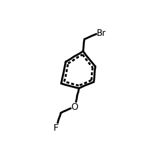 FCOc1ccc(CBr)cc1